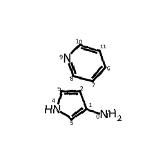 Nc1cc[nH]c1.c1ccncc1